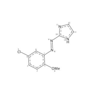 COc1ccc(Cl)cc1/N=N/c1ncc[nH]1